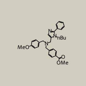 CCCCn1c(CN(Cc2ccc(OC)cc2)Cc2ccc(C(=O)OC)cc2)cnc1-c1ccccc1